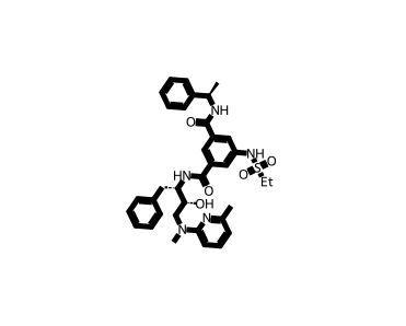 CCS(=O)(=O)Nc1cc(C(=O)N[C@@H](Cc2ccccc2)[C@H](O)CN(C)c2cccc(C)n2)cc(C(=O)N[C@H](C)c2ccccc2)c1